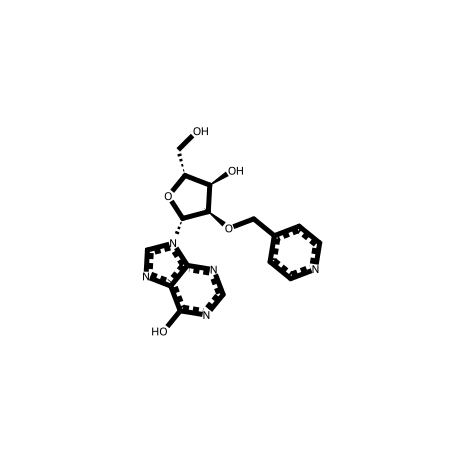 OC[C@H]1O[C@@H](n2cnc3c(O)ncnc32)[C@H](OCc2ccncc2)[C@@H]1O